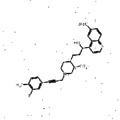 COc1ccc2nccc(C(O)CC[C@@H]3CCN(CC#Cc4ccc(C)c(F)c4)C[C@@H]3C(=O)O)c2c1